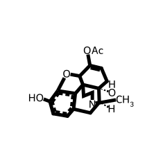 CC(=O)OC1=CC[C@@]2(O)[C@H]3Cc4ccc(O)c5c4C2(CCN3C)C1O5